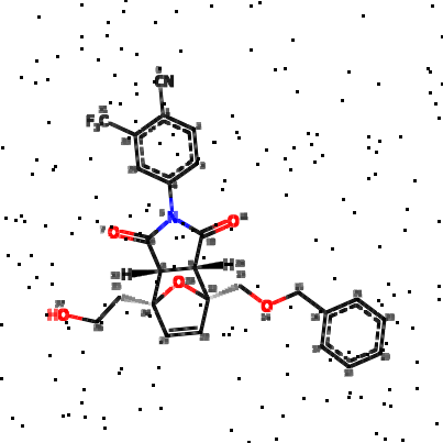 N#Cc1ccc(N2C(=O)[C@@H]3[C@H](C2=O)[C@@]2(COCc4ccccc4)C=C[C@]3(CCO)O2)cc1C(F)(F)F